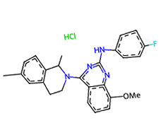 COc1cccc2c(N3CCc4cc(C)ccc4C3C)nc(Nc3ccc(F)cc3)nc12.Cl